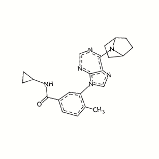 Cc1ccc(C(=O)NC2CC2)cc1-n1cnc2c(N3C4CCC3CC4)ncnc21